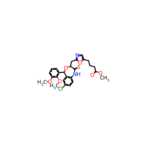 COC(=O)CCCc1cnc(CC2OC(c3cccc(OC)c3OC)c3cc(Cl)ccc3NC2=S)o1